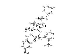 CN(C)c1ccccc1CN1C[C@H]2N(C(=O)CN(C)N2C(=O)NCc2ccccc2)[C@@H](Cc2ccc(O)cc2)C1=O